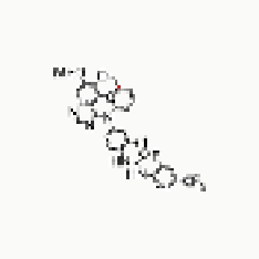 COc1cc2ncnc(N(c3ccccc3)c3ccc(NC(=O)Nc4ccc(C(F)(F)F)cc4F)c(Cl)c3)c2c2c1OCCO2